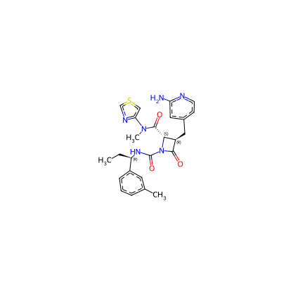 CC[C@@H](NC(=O)N1C(=O)[C@H](Cc2ccnc(N)c2)[C@H]1C(=O)N(C)c1cscn1)c1cccc(C)c1